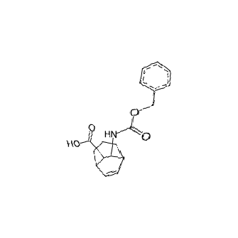 O=C(NC1C2C=CC(CCC2)C1C(=O)O)OCc1ccccc1